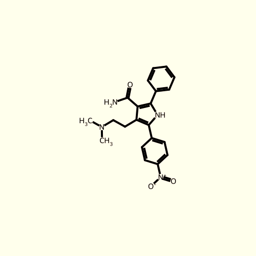 CN(C)CCc1c(-c2ccc([N+](=O)[O-])cc2)[nH]c(-c2ccccc2)c1C(N)=O